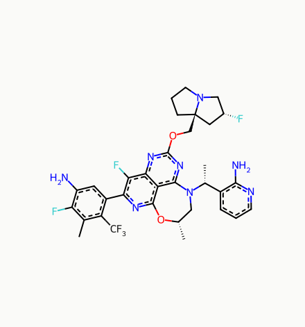 Cc1c(F)c(N)cc(-c2nc3c4c(nc(OC[C@@]56CCCN5C[C@H](F)C6)nc4c2F)N([C@H](C)c2cccnc2N)C[C@H](C)O3)c1C(F)(F)F